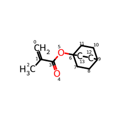 C=C(C)C(=O)OC12CCC(CC1)CC2